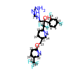 N/N=C\NCC(O)(c1ccc(F)cc1F)C(F)(F)c1ccc(COc2ccc(C(F)(F)F)cn2)cn1